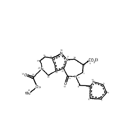 CCOC(=O)C1CN(Cc2ccccn2)C(=O)c2c3c(nn2C1)CCN(C(=O)OC(C)(C)C)C3